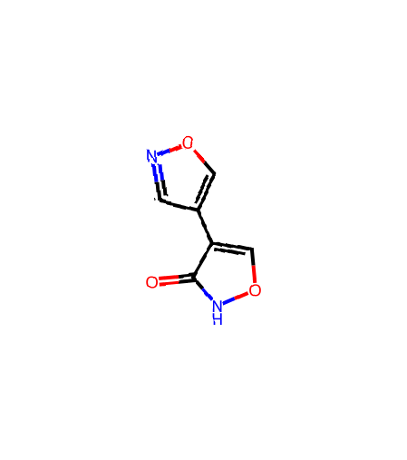 O=c1[nH]occ1-c1[c]noc1